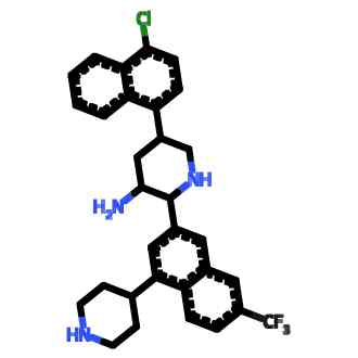 NC1CC(c2ccc(Cl)c3ccccc23)CNC1c1cc(C2CCNCC2)c2ccc(C(F)(F)F)cc2c1